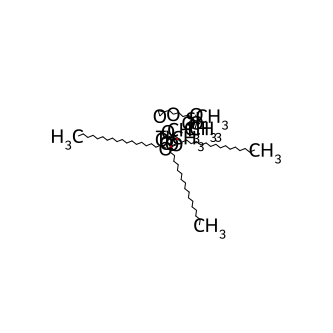 CCCCCCCCCCCCCCCCCC(=O)[O][Ti](=[O])([O]C(=O)CCCCCCCCCCCCCCCCC)([C](=O)CCCCCCCCCCCCCCCCC)[CH](C)C.CO[Si](CCCOCC1CO1)(OC)OC